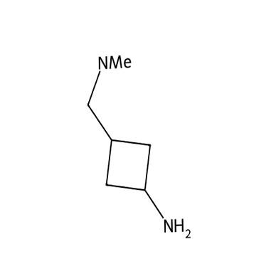 CNCC1CC(N)C1